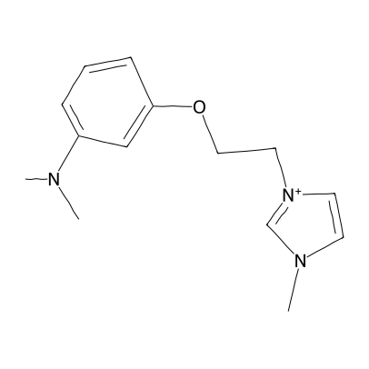 CN(C)c1cccc(OCC[n+]2ccn(C)c2)c1